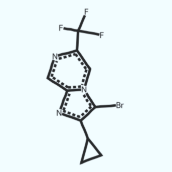 FC(F)(F)c1cn2c(Br)c(C3CC3)nc2cn1